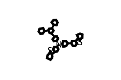 c1ccc(-c2cc(-c3ccccc3)cc(-c3ccc(N(c4ccc(-c5ccc6sc7ccccc7c6c5)cc4)c4ccc5c(c4)sc4ccccc45)cc3)c2)cc1